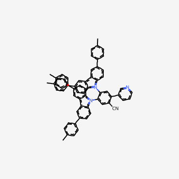 Cc1ccc(-c2ccc3c(c2)c2cc(-c4ccc(C)cc4)ccc2n3-c2cc(C#N)c(-c3cccnc3)cc2-n2c3ccc(-c4ccc(C)cc4)cc3c3cc(-c4ccc(C)cc4)ccc32)cc1